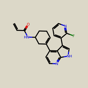 C=CC(=O)NC1CCC=C(c2ccnc3[nH]cc(-c4cccnc4F)c23)C1